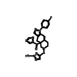 CCCn1ncc(SN2CCC3=Cc4c(cnn4-c4ccc(F)cc4)CC3(C(=O)c3cscn3)C2)n1